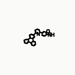 c1cc(-c2ccc3c(c2)OCN3)nc(-c2ccc3c4ccccc4c4ccccc4c3c2)c1